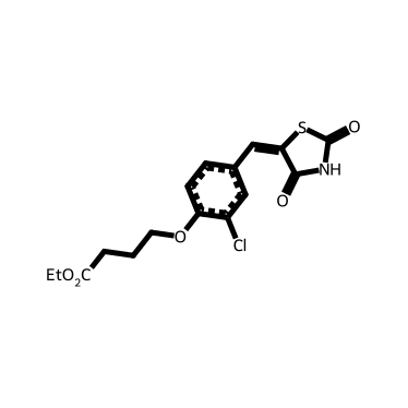 CCOC(=O)CCCOc1ccc(C=C2SC(=O)NC2=O)cc1Cl